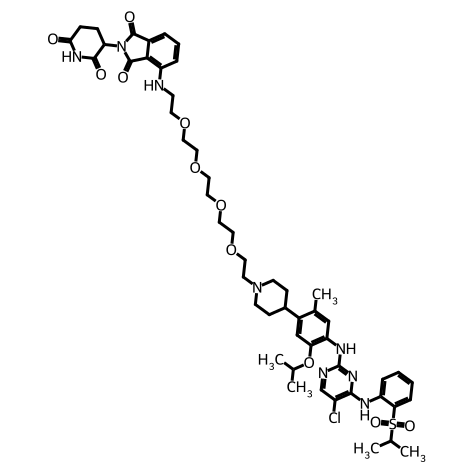 Cc1cc(Nc2ncc(Cl)c(Nc3ccccc3S(=O)(=O)C(C)C)n2)c(OC(C)C)cc1C1CCN(CCOCCOCCOCCOCCNc2cccc3c2C(=O)N(C2CCC(=O)NC2=O)C3=O)CC1